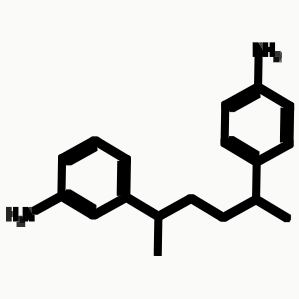 CC(CCC(C)c1cccc(N)c1)c1ccc(N)cc1